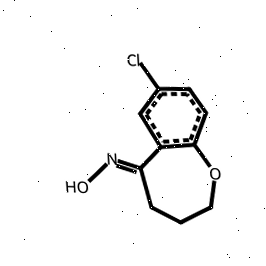 O/N=C1\CCCOc2ccc(Cl)cc21